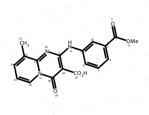 COC(=O)c1cccc(Nc2nc3c(C)cccn3c(=O)c2C(=O)O)c1